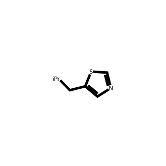 CC(C)Cc1cncs1